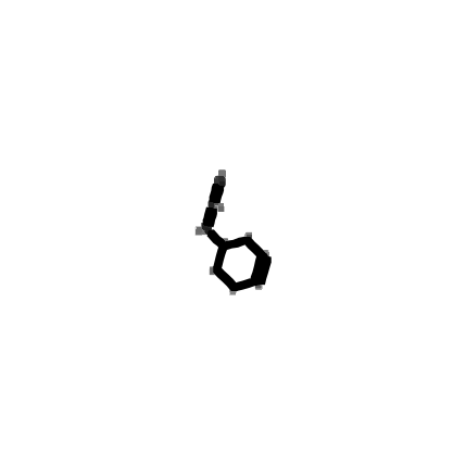 O=C=NC1CC#CCC1